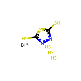 Sc1nnc(S)s1.[Bi+3].[SH-].[SH-].[SH-]